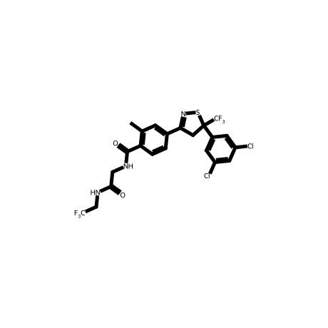 Cc1cc(C2=NSC(c3cc(Cl)cc(Cl)c3)(C(F)(F)F)C2)ccc1C(=O)NCC(=O)NCC(F)(F)F